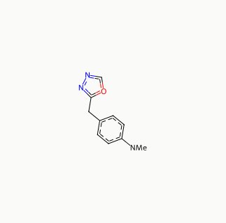 CNc1ccc(Cc2nnco2)cc1